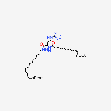 CCCCC/C=C\C/C=C\CCCCCCCCNC(=O)C(CCNC(=N)N)NC(=O)CCCCCCC/C=C\CCCCCCCC